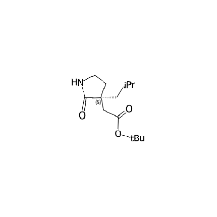 CC(C)C[C@@]1(CC(=O)OC(C)(C)C)CCNC1=O